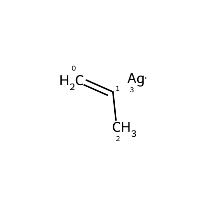 C=CC.[Ag]